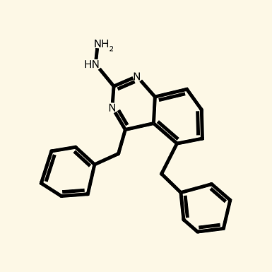 NNc1nc(Cc2ccccc2)c2c(Cc3ccccc3)cccc2n1